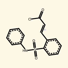 O=C(Cl)/C=C/c1ccccc1S(=O)(=O)Nc1ccccc1